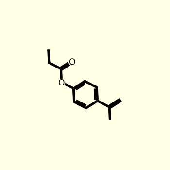 C=C(C)c1ccc(OC(=O)CC)cc1